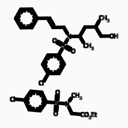 CC(CO)CC(C)N(C/C=C/c1ccccc1)S(=O)(=O)c1ccc(Cl)cc1.CCOC(=O)CN(C)S(=O)(=O)c1ccc(Cl)cc1